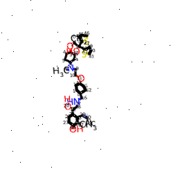 C=C(OC1CCC(N(C)CCOc2ccc(CNC[C@H](O)c3ccc(O)c(C)c3/C=C\C(C)=O)cc2)CC1)C(O)(c1cccs1)c1cccs1